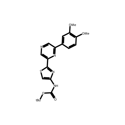 COc1ccc(-c2cncc(-c3nc(NC(=O)OC(C)(C)C)cs3)n2)cc1OC